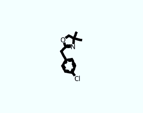 CC1(C)COC(Cc2ccc(Cl)cc2)=N1